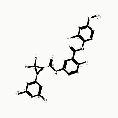 COc1ccc(NC(=O)c2cc(NC(=O)[C@@H]3[C@@H](c4cc(Cl)cc(Cl)c4)C3(Cl)Cl)ccc2Cl)c(F)c1